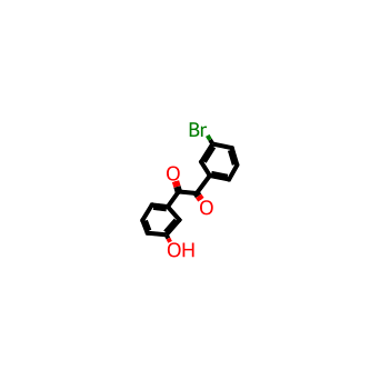 O=C(C(=O)c1cccc(Br)c1)c1cccc(O)c1